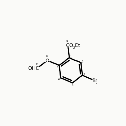 CCOC(=O)c1cc(Br)ccc1OC=O